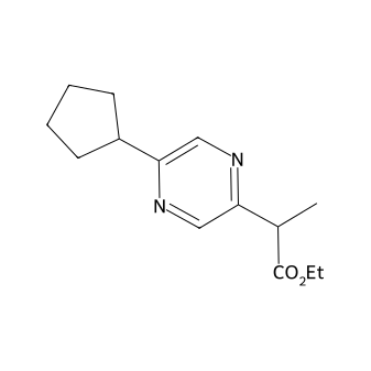 CCOC(=O)C(C)c1cnc(C2CCCC2)cn1